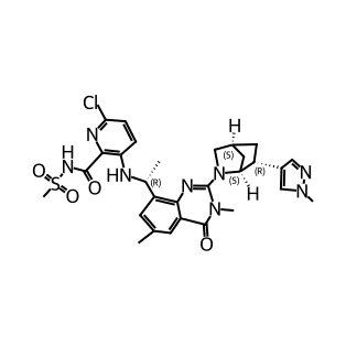 Cc1cc([C@@H](C)Nc2ccc(Cl)nc2C(=O)NS(C)(=O)=O)c2nc(N3C[C@H]4C[C@H](c5cnn(C)c5)[C@@H]3C4)n(C)c(=O)c2c1